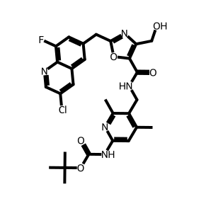 Cc1cc(NC(=O)OC(C)(C)C)nc(C)c1CNC(=O)c1oc(Cc2cc(F)c3ncc(Cl)cc3c2)nc1CO